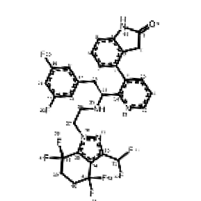 O=C1Cc2c(cccc2-c2cccnc2[C@H](Cc2cc(F)cc(F)c2)NCCn2nc(C(F)F)c3c2C(F)(F)CCC3(F)F)N1